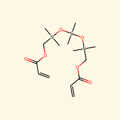 C=CC(=O)OC[Si](C)(C)O[Si](C)(C)O[Si](C)(C)COC(=O)C=C